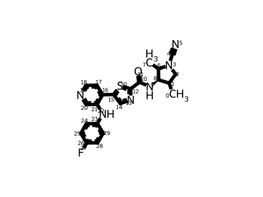 CC1CN(C#N)C(C)[C@@H]1NC(=O)c1ncc(-c2ccncc2Nc2ccc(F)cc2)s1